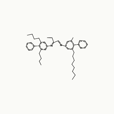 CCCCCCCCc1cc(N=CC(CC)=Nc2cc(CCCC)c(-c3ccccc3)c(CCCC)c2)cc(C)c1-c1ccccc1